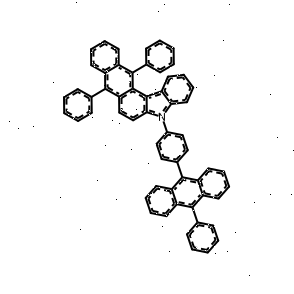 c1ccc(-c2c3ccccc3c(-c3ccc(-n4c5ccccc5c5c6c(-c7ccccc7)c7ccccc7c(-c7ccccc7)c6ccc54)cc3)c3ccccc23)cc1